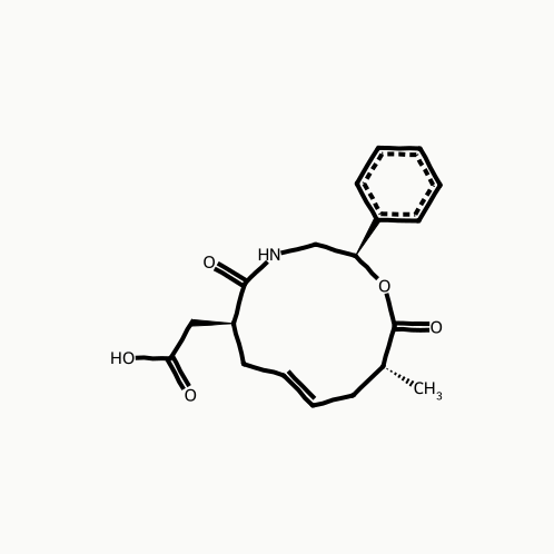 C[C@@H]1C/C=C/C[C@@H](CC(=O)O)C(=O)NC[C@@H](c2ccccc2)OC1=O